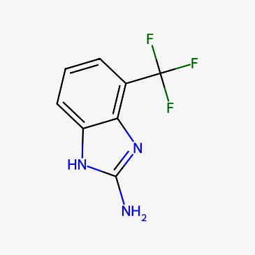 Nc1nc2c(C(F)(F)F)cccc2[nH]1